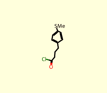 CSc1ccc(CCCC(=O)Cl)cc1